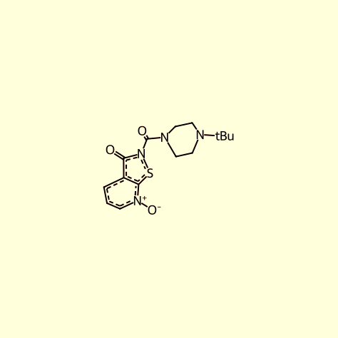 CC(C)(C)N1CCN(C(=O)n2sc3c(ccc[n+]3[O-])c2=O)CC1